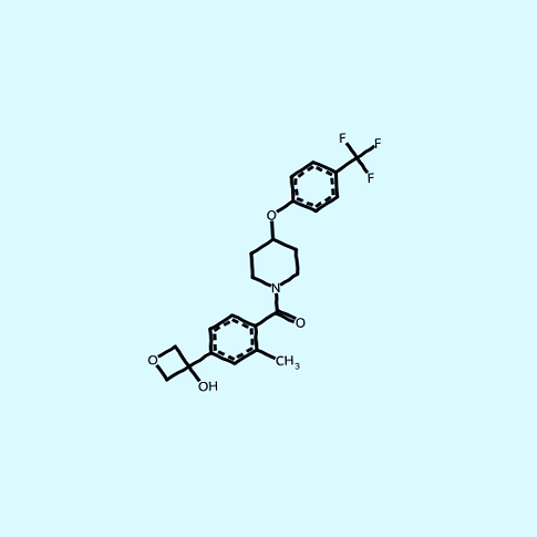 Cc1cc(C2(O)COC2)ccc1C(=O)N1CCC(Oc2ccc(C(F)(F)F)cc2)CC1